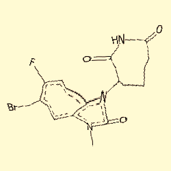 Cn1c(=O)n(C2CCC(=O)NC2=O)c2cc(F)c(Br)cc21